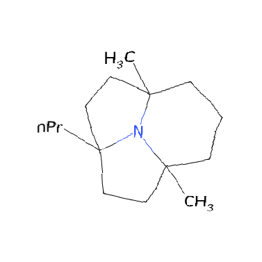 CCCC12CCC3(C)CCCC(C)(CC1)N32